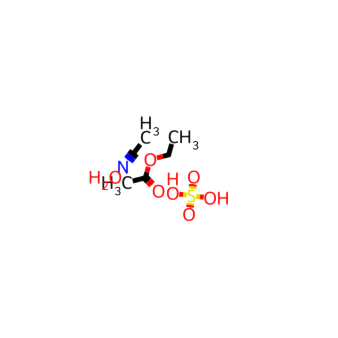 CC#N.CCOC(C)=O.O.O=S(=O)(O)O